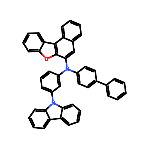 c1ccc(-c2ccc(N(c3cccc(-n4c5ccccc5c5ccccc54)c3)c3cc4ccccc4c4c3oc3ccccc34)cc2)cc1